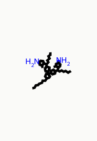 CCCCCCCCC1CCC(c2ccc(C(CCCCCC)c3ccc(N)cc3C)cc2)(c2ccc(C(CCCCCC)c3ccc(N)cc3C)cc2)CC1